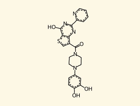 O=C(c1csc2c(O)nc(-c3ccccn3)nc12)N1CCN(c2ccc(O)c(O)c2)CC1